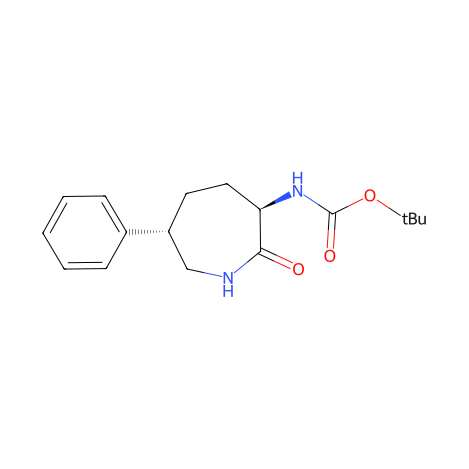 CC(C)(C)OC(=O)N[C@@H]1CC[C@@H](c2ccccc2)CNC1=O